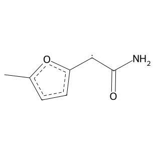 Cc1ccc([CH]C(N)=O)o1